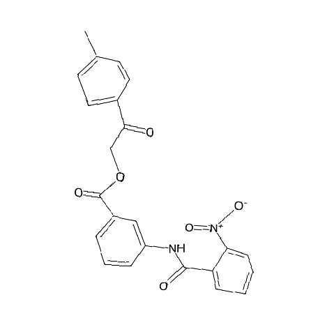 Cc1ccc(C(=O)COC(=O)c2cccc(NC(=O)c3ccccc3[N+](=O)[O-])c2)cc1